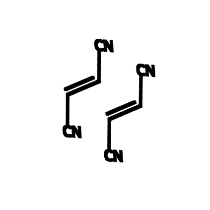 N#C/C=C/C#N.N#C/C=C/C#N